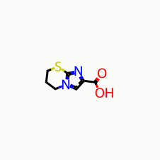 O=C(O)c1cn2c(n1)SCCC2